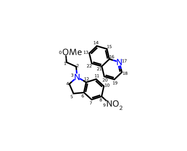 COCCN1CCc2cc([N+](=O)[O-])ccc21.c1ccc2ncccc2c1